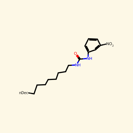 CCCCCCCCCCCCCCCCCCNC(=O)Nc1cccc([N+](=O)[O-])c1